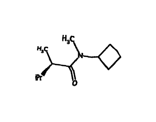 CC(C)[C@@H](C)C(=O)N(C)C1CCC1